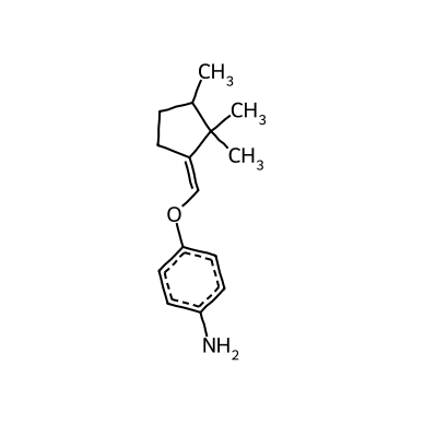 CC1CCC(=COc2ccc(N)cc2)C1(C)C